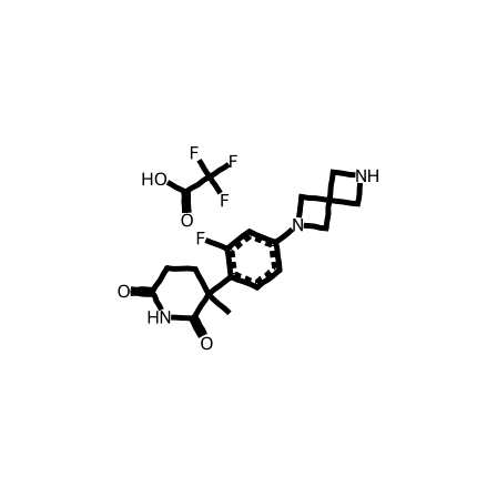 CC1(c2ccc(N3CC4(CNC4)C3)cc2F)CCC(=O)NC1=O.O=C(O)C(F)(F)F